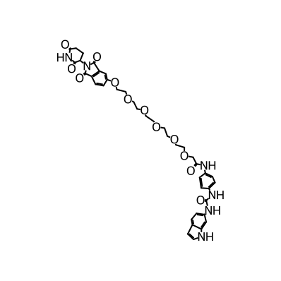 O=C1CCC(N2C(=O)c3ccc(OCCOCCOCCOCCOCCOCC(=O)Nc4ccc(NC(=O)Nc5ccc6cc[nH]c6c5)cc4)cc3C2=O)C(=O)N1